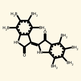 Bc1c(B)c(B)c2c(c1B)N/C(=C1\C(=O)Nc3c(B)c(B)c(B)c(B)c31)C2=O